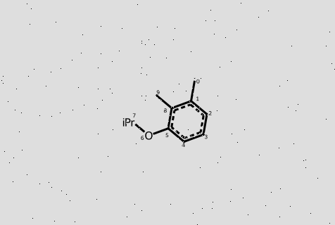 [CH2]c1cccc(OC(C)C)c1C